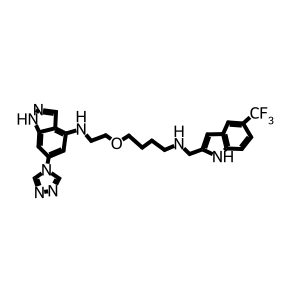 FC(F)(F)c1ccc2[nH]c(CNCCCCOCCNc3cc(-n4cnnc4)cc4[nH]ncc34)cc2c1